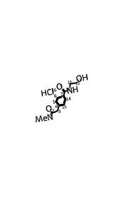 CNC(=O)Cc1ccc(C(=O)NCCO)cc1.Cl